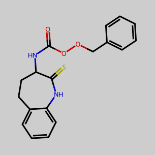 O=C(NC1CCc2ccccc2NC1=S)OOCc1ccccc1